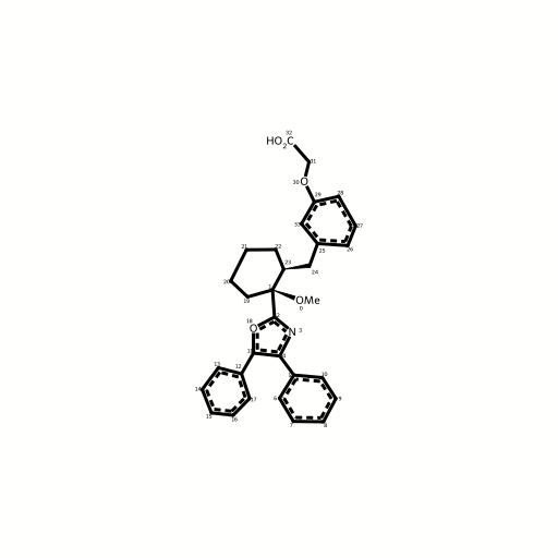 CO[C@@]1(c2nc(-c3ccccc3)c(-c3ccccc3)o2)CCCC[C@H]1Cc1cccc(OCC(=O)O)c1